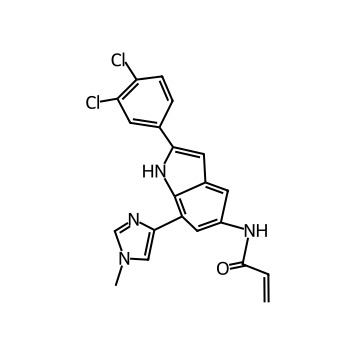 C=CC(=O)Nc1cc(-c2cn(C)cn2)c2[nH]c(-c3ccc(Cl)c(Cl)c3)cc2c1